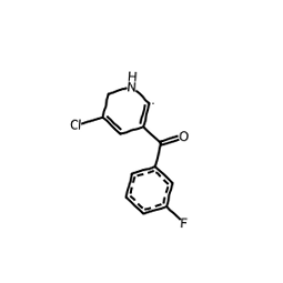 O=C(C1=[C]NCC(Cl)=C1)c1cccc(F)c1